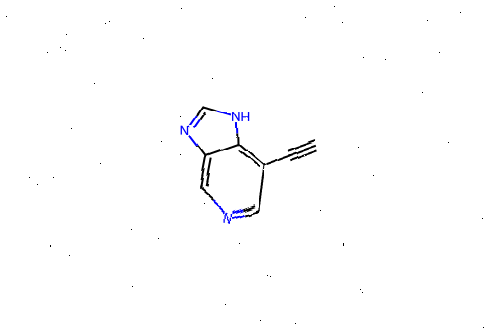 C#Cc1cncc2nc[nH]c12